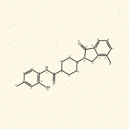 Cc1ccc(NC(=O)C2CCC(N3Cc4c(C)cccc4C3=O)CC2)c(O)c1